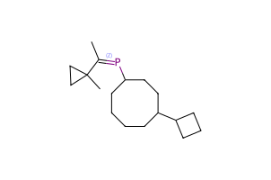 C/C(=P/C1CCCCC(C2CCC2)CC1)C1(C)CC1